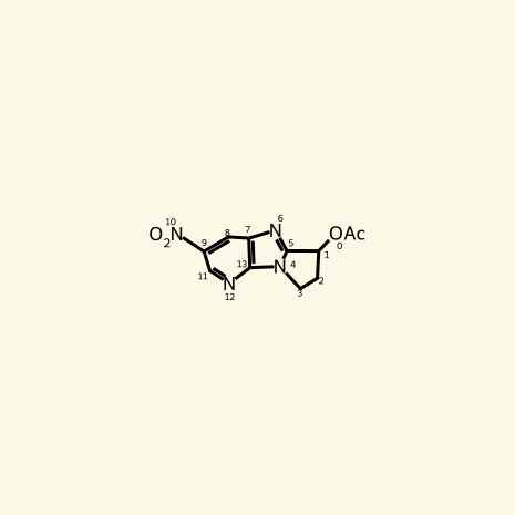 CC(=O)OC1CCn2c1nc1cc([N+](=O)[O-])cnc12